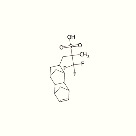 CC(CC1CC2CC1C1C3C=CC(C3)C21)(C(F)(F)F)S(=O)(=O)O